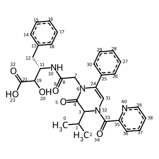 CC(C)C1C(=O)N(CC(=O)N[C@@H](Cc2ccccc2)C(O)C(=O)O)C(c2ccccc2)=CN1C(=O)c1ccccn1